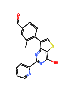 Cc1cc(C=O)ccc1-c1csc2c(O)nc(-c3ccccn3)nc12